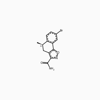 C[C@@H]1Cc2c(C(N)=O)noc2-c2cc(Br)ccc21